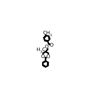 Cc1ccc(C(=O)OCC2(C)COC(c3ccccc3)OC2)cc1